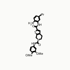 COc1ccc(NC(=O)N2CCc3cc(C(=O)Nc4cc(C(C)C)ccc4N)sc3C2)cc1OC